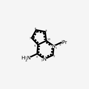 CC(C)n1cnc(N)c2cccc1-2